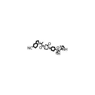 CC(C(=O)N1CCN(c2ccc(S(=O)(=O)Nc3ncc[nH]3)cc2)C(=O)C1)n1ccc2cc(C#N)ccc21